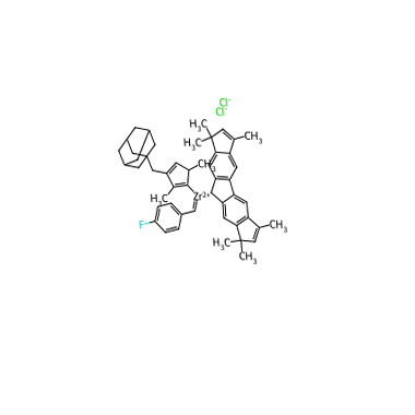 CC1=CC(C)(C)c2cc3c(cc21)-c1cc2c(cc1[CH]3/[Zr+2](=[CH]/c1ccc(F)cc1)[C]1=C(C)C(CC34CC5CC(CC(C5)C3)C4)=CC1C)C(C)(C)C=C2C.[Cl-].[Cl-]